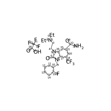 CCN(CC)CCn1c(=O)n(Cc2ccccc2F)c2c(C(F)(F)F)cc(C(N)=O)cc21.O=C(O)C(F)(F)F